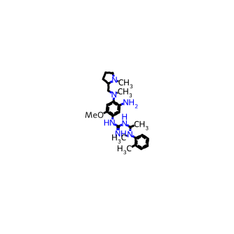 COc1cc(N(C)CC2CCCN2C)c(N)cc1NC(=N)NC(C)N(C)c1ccccc1C